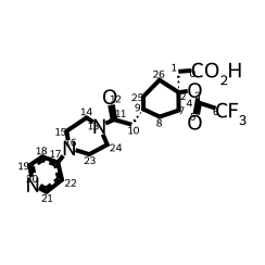 O=C(O)C[C@]1(OC(=O)C(F)(F)F)CC[C@H](CC(=O)N2CCN(c3ccncc3)CC2)CC1